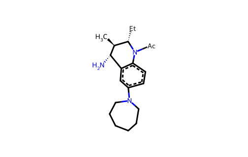 CC[C@H]1[C@H](C)[C@@H](N)c2cc(N3CCCCCC3)ccc2N1C(C)=O